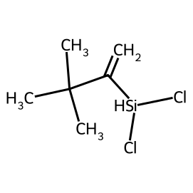 C=C([SiH](Cl)Cl)C(C)(C)C